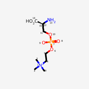 C[N+](C)(C)CCOP(=O)([O-])OC[C@H](N)C(=O)O